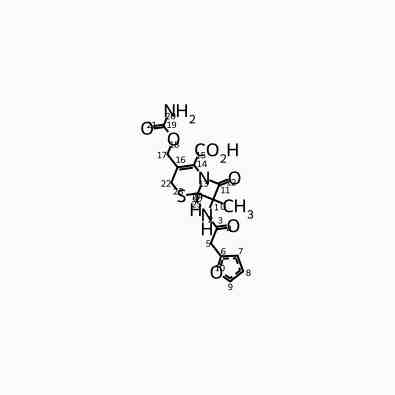 CC1(NC(=O)Cc2ccco2)C(=O)N2C(C(=O)O)=C(COC(N)=O)CS[C@H]21